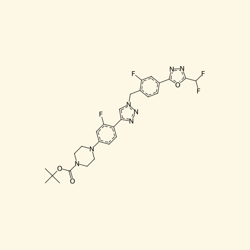 CC(C)(C)OC(=O)N1CCN(c2ccc(-c3cn(Cc4ccc(-c5nnc(C(F)F)o5)cc4F)nn3)c(F)c2)CC1